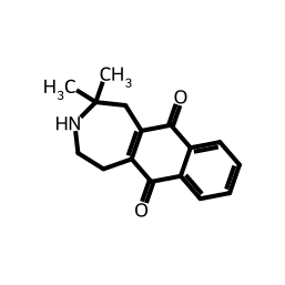 CC1(C)CC2=C(CCN1)C(=O)c1ccccc1C2=O